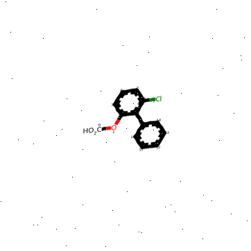 O=C(O)Oc1cccc(Cl)c1-c1ccccc1